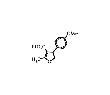 CCOC(=O)C1=C(C)OCC1c1ccc(OC)cc1